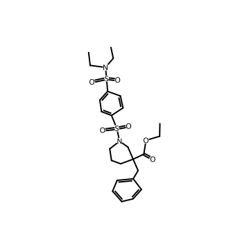 CCOC(=O)C1(Cc2ccccc2)CCCN(S(=O)(=O)c2ccc(S(=O)(=O)N(CC)CC)cc2)C1